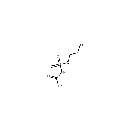 CC(C)CCOS(=O)(=O)NC(=O)C(C)C